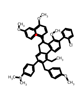 CCc1c(Cc2ccc(OC)cc2)c(-c2ccc(N(C)C)cc2)[c]c(CCc2ccc(OC)cc2)c1-c1ccc(-c2ccccc2Cl)c(OC)c1CCc1ccc(OC)cc1